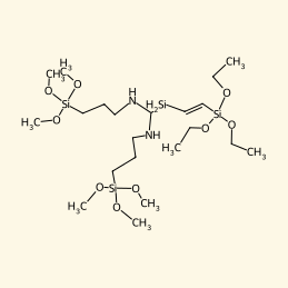 CCO[Si](C=C[SiH2]C(NCCC[Si](OC)(OC)OC)NCCC[Si](OC)(OC)OC)(OCC)OCC